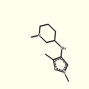 Cc1nn(C)cc1NC1CCCN(C)C1